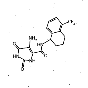 Nc1c(C(=O)NC2CCCc3c2cccc3C(F)(F)F)[nH]c(=O)[nH]c1=O